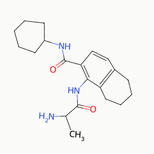 CC(N)C(=O)Nc1c(C(=O)NC2CCCCC2)ccc2c1CCCC2